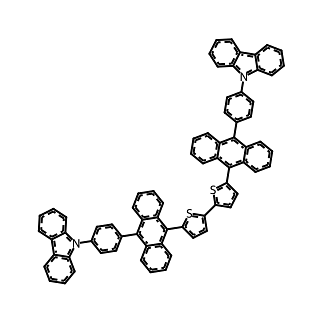 c1ccc2c(-c3ccc(-c4ccc(-c5c6ccccc6c(-c6ccc(-n7c8ccccc8c8ccccc87)cc6)c6ccccc56)s4)s3)c3ccccc3c(-c3ccc(-n4c5ccccc5c5ccccc54)cc3)c2c1